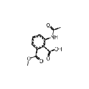 COC(=O)c1cccc(NC(C)=O)c1C(=O)O